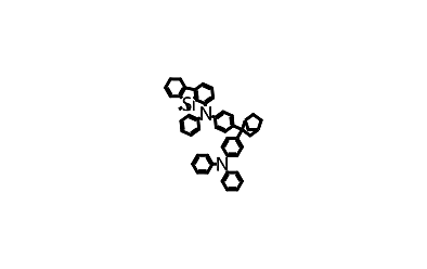 C[Si]1(C)C2=C(CCC=C2)c2cccc(N(c3ccccc3)c3ccc(C4(c5ccc(N(c6ccccc6)c6ccccc6)cc5)CC5CCC4C5)cc3)c21